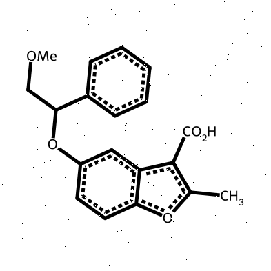 COCC(Oc1ccc2oc(C)c(C(=O)O)c2c1)c1ccccc1